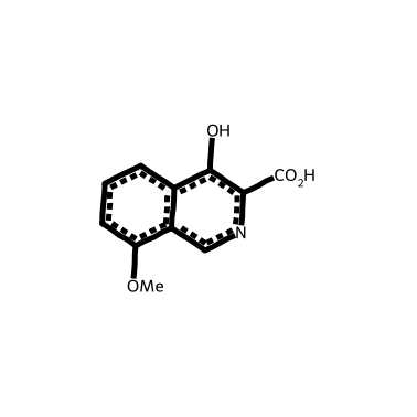 COc1cccc2c(O)c(C(=O)O)ncc12